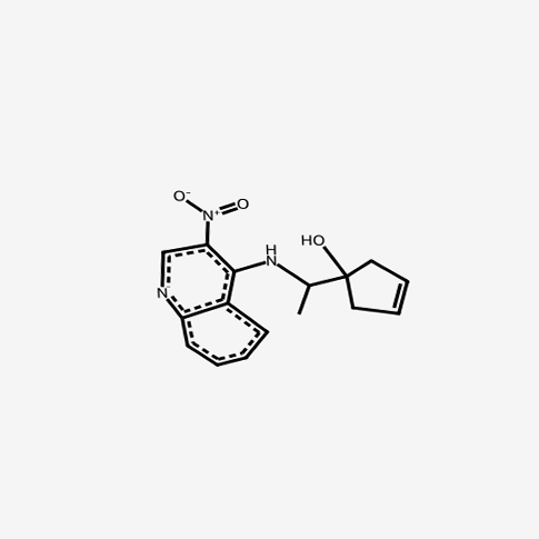 CC(Nc1c([N+](=O)[O-])cnc2ccccc12)C1(O)CC=CC1